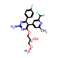 COC[C@@H](O)COc1nc(N)nc(-c2ccc(F)cc2)c1-c1cc(C)nc(C(F)F)c1